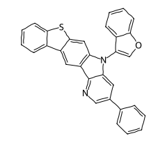 c1ccc(-c2cnc3c4cc5c(cc4n(-c4coc6ccccc46)c3c2)sc2ccccc25)cc1